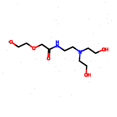 [O]CCOCC(=O)NCCN(CCO)CCO